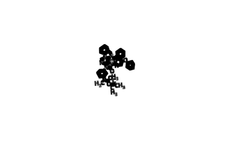 CN(C(=O)OC(C)(C)C)c1cccc(-n2c(=O)n(C3=NC=C(Oc4ccccc4)CN3)c3c(N(Cc4ccccc4)Cc4ccccc4)ncnc32)c1